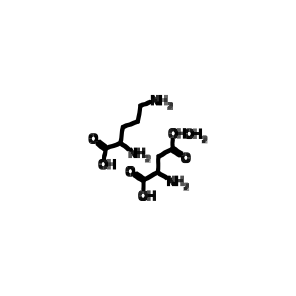 NC(CC(=O)O)C(=O)O.NCCCC(N)C(=O)O.O